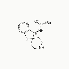 CC(C)(C)[S+]([O-])N[C@@H]1c2ncccc2OC12CCNCC2